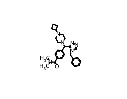 CN(C)C(=O)c1ccc(C(c2nncn2Cc2ccccc2)N2CCN(C3CCC3)CC2)cc1